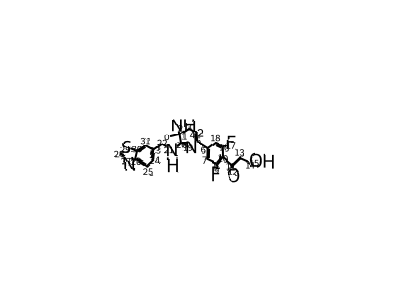 CC1(N)CC=C(c2cc(F)c(C(=O)CCO)c(F)c2)N=C1NCc1ccc2ncsc2c1